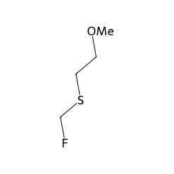 COCCSCF